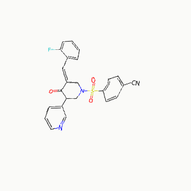 N#Cc1ccc(S(=O)(=O)N2CC(=Cc3ccccc3F)C(=O)C(c3cccnc3)C2)cc1